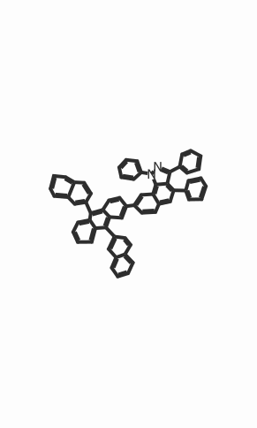 c1ccc(-c2cc3ccc(-c4ccc5c(-c6ccc7ccccc7c6)c6ccccc6c(-c6ccc7ccccc7c6)c5c4)cc3c3c2c(-c2ccccc2)nn3-c2ccccc2)cc1